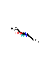 CCCCCCCCCc1cnc(-c2ccc(OC[C@H](O)CCCCCC)c(F)c2F)nc1